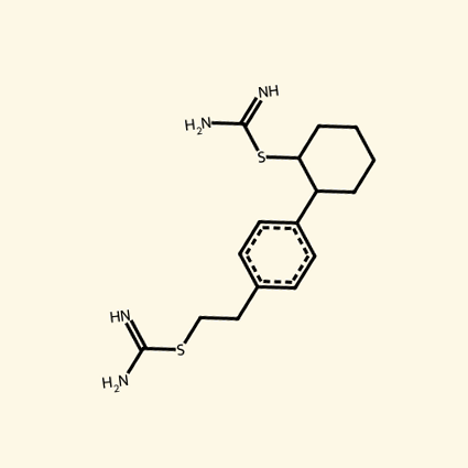 N=C(N)SCCc1ccc(C2CCCCC2SC(=N)N)cc1